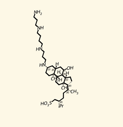 CC(C)[C@@H](CC[C@@H](C)[C@H]1CC[C@H]2[C@@H]3[C@H](O)C[C@H]4C[C@@H](NCCCNCCCCNCCCN)CC[C@]4(C)[C@H]3CC[C@]12C)CS(=O)(=O)O